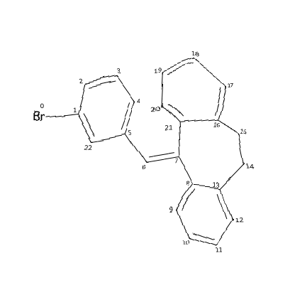 Brc1cccc(C=C2c3ccccc3CCc3ccccc32)c1